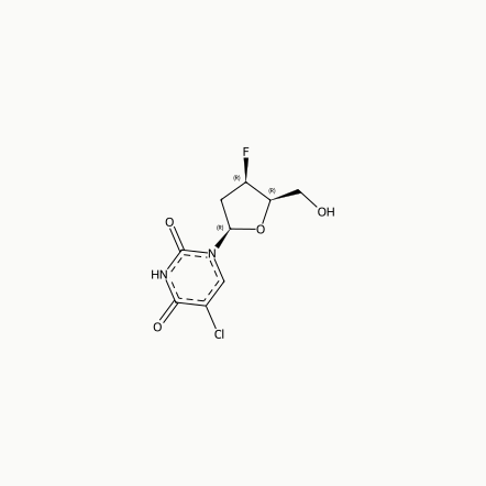 O=c1[nH]c(=O)n([C@H]2C[C@@H](F)[C@@H](CO)O2)cc1Cl